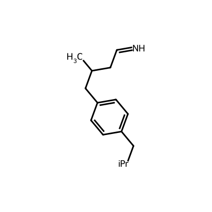 CC(C)Cc1ccc(CC(C)CC=N)cc1